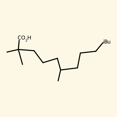 CCC(C)CCCC(C)CCCC(C)(C)C(=O)O